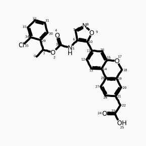 CC(OC(=O)Nc1cnoc1-c1ccc2c(c1)OCc1cc(CC(=O)O)ccc1-2)c1ccccc1Cl